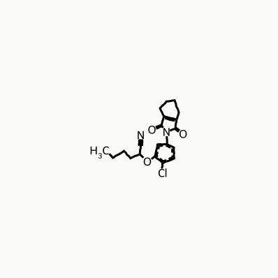 CCCCC(C#N)Oc1cc(N2C(=O)C3=C(CCCC3)C2=O)ccc1Cl